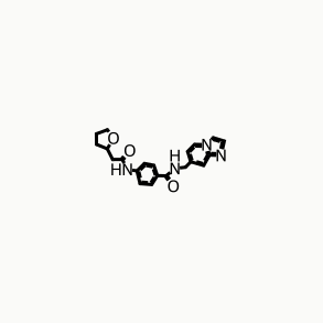 O=C(CC1CCCO1)Nc1ccc(C(=O)NCc2ccn3ccnc3c2)cc1